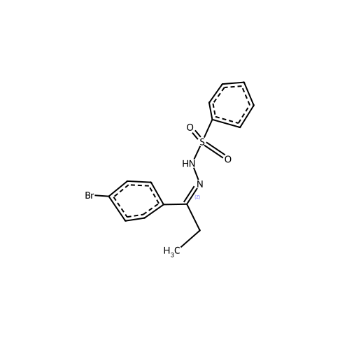 CC/C(=N/NS(=O)(=O)c1ccccc1)c1ccc(Br)cc1